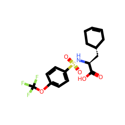 O=C(O)[C@H](C[C@H]1CC=CCC1)NS(=O)(=O)c1ccc(OC(F)(F)F)cc1